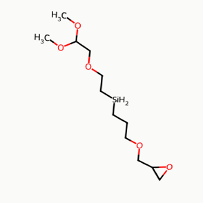 COC(COCC[SiH2]CCCOCC1CO1)OC